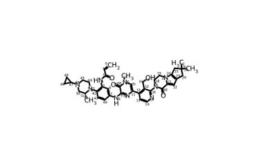 C=CC(=O)Nc1cc(Nc2nc(-c3ccnc(N4CCn5c(cc6c5CC(C)(C)C6)C4=O)c3CO)cn(C)c2=O)ccc1N1CCN(C2CC2)C[C@@H]1C